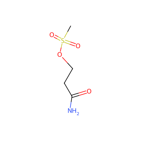 CS(=O)(=O)OCCC(N)=O